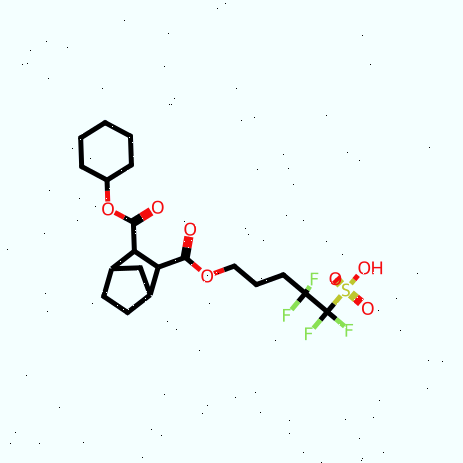 O=C(OCCCC(F)(F)C(F)(F)S(=O)(=O)O)C1C2CCC(C2)C1C(=O)OC1CCCCC1